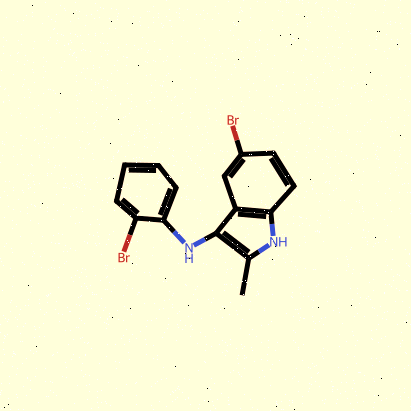 Cc1[nH]c2ccc(Br)cc2c1Nc1ccccc1Br